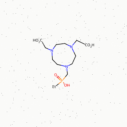 CCP(=O)(O)CN1CCN(CC(=O)O)CCN(CC(=O)O)CC1